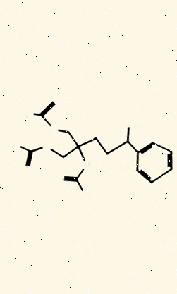 CC(=O)NC(CCC(C)c1ccccc1)(COC(C)=O)COC(C)=O